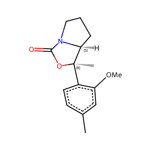 COc1cc(C)ccc1[C@@]1(C)OC(=O)N2CCC[C@H]21